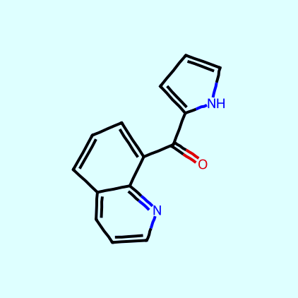 O=C(c1ccc[nH]1)c1cccc2cccnc12